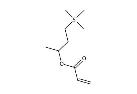 C=CC(=O)OC(C)CC[Si](C)(C)C